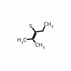 CCC([S])=C(C)C